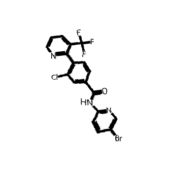 O=C(Nc1ccc(Br)cn1)c1ccc(-c2ncccc2C(F)(F)F)c(Cl)c1